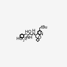 CC(C)(C)Cc1cnc2c(c1)[C@@H](NC[C@H](O)[C@H](Cc1ccccc1)NC(=O)O)CC1(CCC1)O2